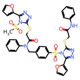 CS(=O)(=O)n1c(SCC(=O)N(Cc2ccc(S(=O)(=O)n3c(SCC(=O)Nc4ccccc4)nnc3-c3ccco3)cc2)c2ccccc2)nnc1-c1ccco1